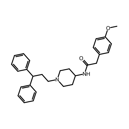 COc1ccc(CC(=O)NC2CCN(CCC(c3ccccc3)c3ccccc3)CC2)cc1